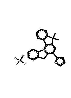 CC1(C)c2ccccc2-c2c1cc(-c1ccco1)c1[n+]2-c2ccccc2C1.[O-][Cl+3]([O-])([O-])[O-]